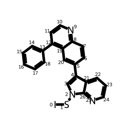 ISn1cc(-c2ccc3nccc(-c4ccccc4)c3c2)c2cccnc21